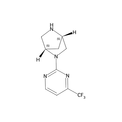 FC(F)(F)c1ccnc(N2C[C@@H]3C[C@H]2CN3)n1